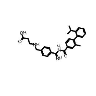 Cc1cc(C(=O)NC(=N)c2ccc(CNCCC(=O)O)cc2)ccc1-c1ccccc1C(C)C